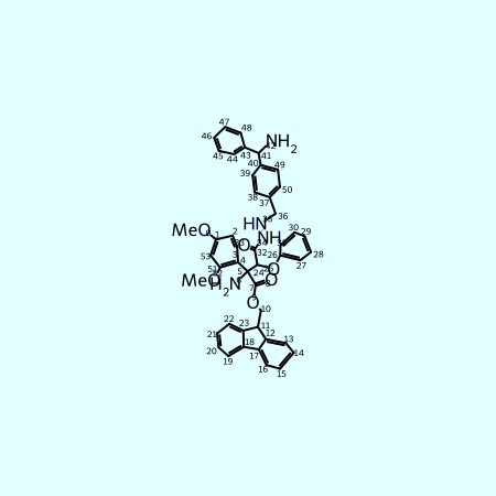 COc1ccc(C(N)(C(=O)OCC2c3ccccc3-c3ccccc32)C(Oc2ccccc2)C(=O)NNCc2ccc(C(N)c3ccccc3)cc2)c(OC)c1